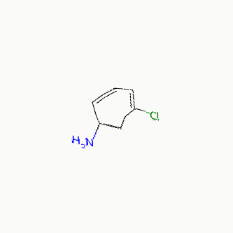 NC1C=CC=C(Cl)C1